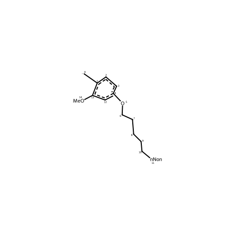 [CH2]c1ccc(OCCCCCCCCCCCCCC)cc1OC